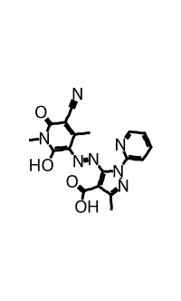 Cc1nn(-c2ccccn2)c(/N=N/c2c(C)c(C#N)c(=O)n(C)c2O)c1C(=O)O